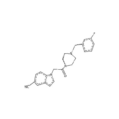 N#Cc1ccc2c(ccn2CC(=O)N2CCN(Cc3cccc(F)c3)CC2)c1